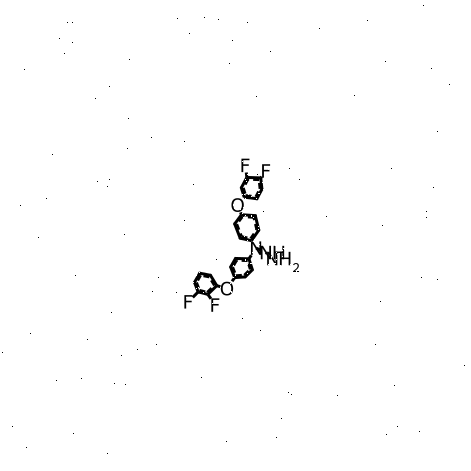 NNN(c1ccc(Oc2ccc(F)c(F)c2)cc1)c1ccc(Oc2cccc(F)c2F)cc1